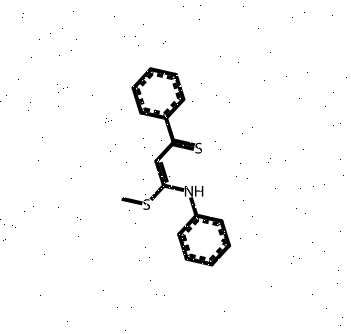 CS/C(=C/C(=S)c1ccccc1)Nc1ccccc1